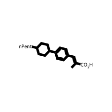 CCCCCC1CCC(c2ccc(/C=C(\C)C(=O)O)cc2)CC1